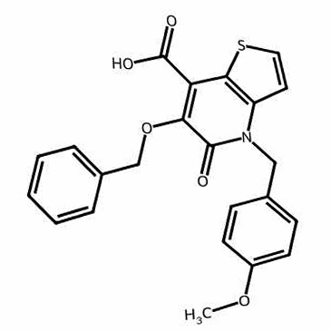 COc1ccc(Cn2c(=O)c(OCc3ccccc3)c(C(=O)O)c3sccc32)cc1